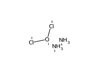 ClOCl.N.N